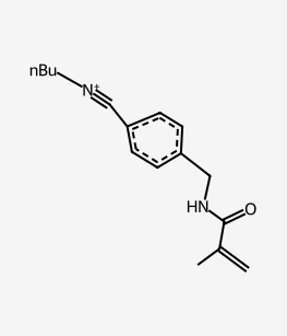 C=C(C)C(=O)NCc1ccc(C#[N+]CCCC)cc1